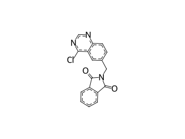 O=C1c2ccccc2C(=O)N1Cc1ccc2ncnc(Cl)c2c1